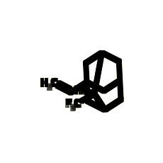 C=CC12CC3CC(C1)C(O)(C(F)(F)F)C(C3)C2